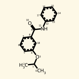 CC(C)Oc1cccc(C(=O)Nc2ccccc2)c1